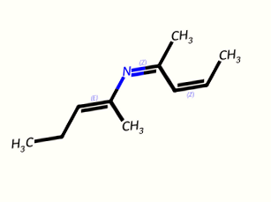 C\C=C/C(C)=N\C(C)=C\CC